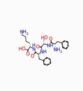 NCCCC[C@H](NC(=O)[C@H](Cc1ccccc1)NC(=O)[C@H](CO)NC(=O)[C@@H](N)Cc1ccccc1)C(=O)O